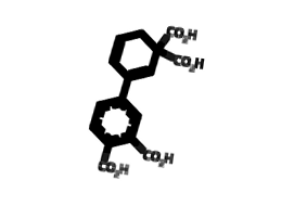 O=C(O)c1ccc(C2=CC(C(=O)O)(C(=O)O)CC=C2)cc1C(=O)O